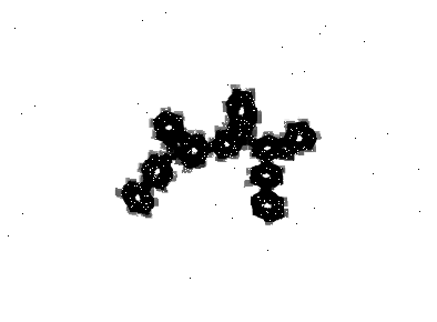 c1ccc(-c2ccc(-c3cc(-n4c5ccccc5c5cc(-c6ccc7c(c6)c6ccccc6n7-c6ccc(-c7ccccc7)cc6)ccc54)cc4c3sc3ccccc34)cc2)cc1